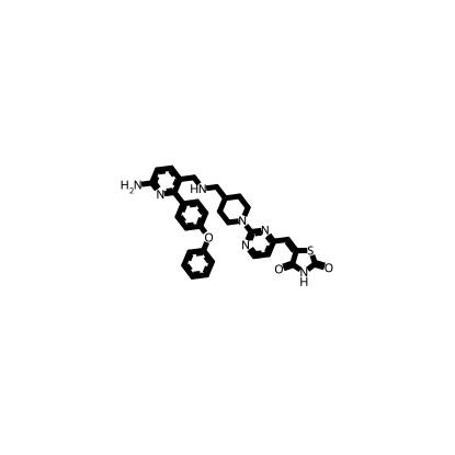 Nc1ccc(CNCC2CCN(c3nccc(C=C4SC(=O)NC4=O)n3)CC2)c(-c2ccc(Oc3ccccc3)cc2)n1